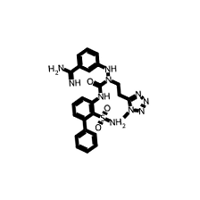 Cn1nnnc1CCN(Nc1cccc(C(=N)N)c1)C(=O)Nc1cccc(-c2ccccc2)c1S(N)(=O)=O